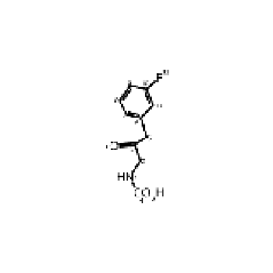 O=C(CNC(=O)O)Cc1cccc(F)c1